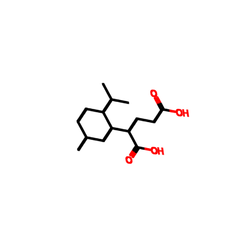 CC1CCC(C(C)C)C(C(CCC(=O)O)C(=O)O)C1